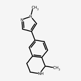 CC1NCCc2cc(-c3cnn(C)c3)ccc21